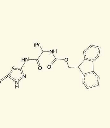 CC(C)C(NC(=O)OCC1c2ccccc2-c2ccccc21)C(=O)Nc1n[nH]c(=S)s1